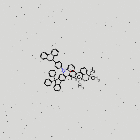 CC1(C)CCC(C)(C)c2c(-c3ccc(-c4cc5c(cc4N(c4ccccc4)c4ccc(-c6cc7ccccc7c7ccccc67)cc4)C(c4ccccc4)(c4ccccc4)c4ccccc4-5)cc3)cccc21